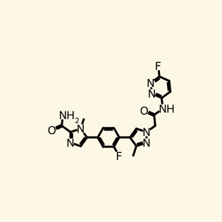 Cc1nn(CC(=O)Nc2ccc(F)nn2)cc1-c1ccc(-c2cnc(C(N)=O)n2C)cc1F